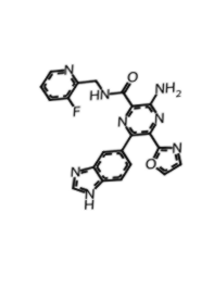 Nc1nc(-c2ncco2)c(-c2ccc3[nH]cnc3c2)nc1C(=O)NCc1ncccc1F